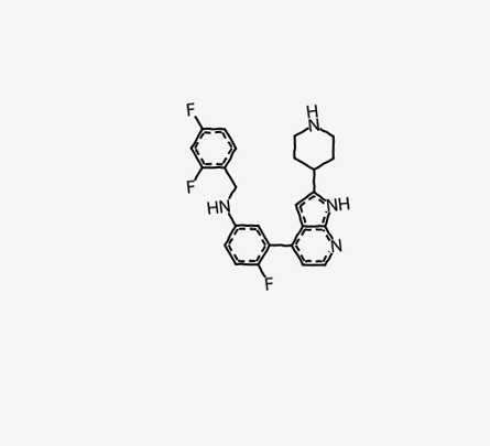 Fc1ccc(CNc2ccc(F)c(-c3ccnc4[nH]c(C5CCNCC5)cc34)c2)c(F)c1